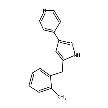 Cc1ccccc1Cc1cc(-c2ccncc2)n[nH]1